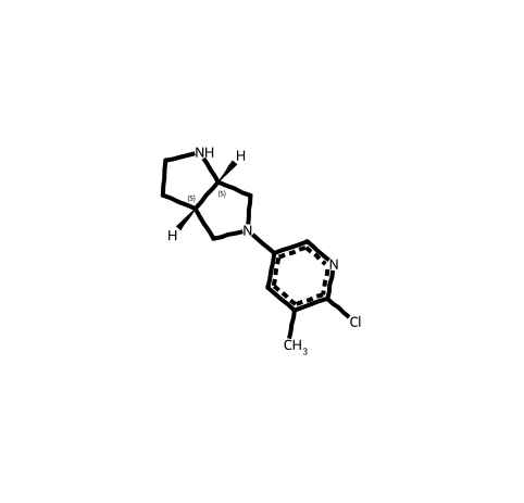 Cc1cc(N2C[C@@H]3CCN[C@@H]3C2)cnc1Cl